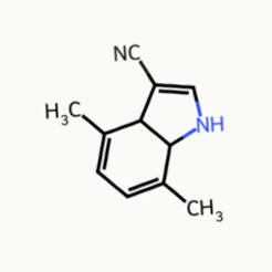 CC1=CC=C(C)C2C(C#N)=CNC12